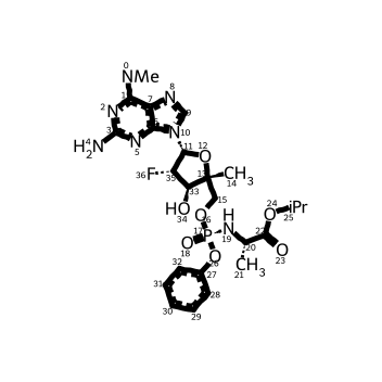 CNc1nc(N)nc2c1ncn2[C@@H]1O[C@](C)(CO[P@@](=O)(N[C@@H](C)C(=O)OC(C)C)Oc2ccccc2)[C@@H](O)[C@@H]1F